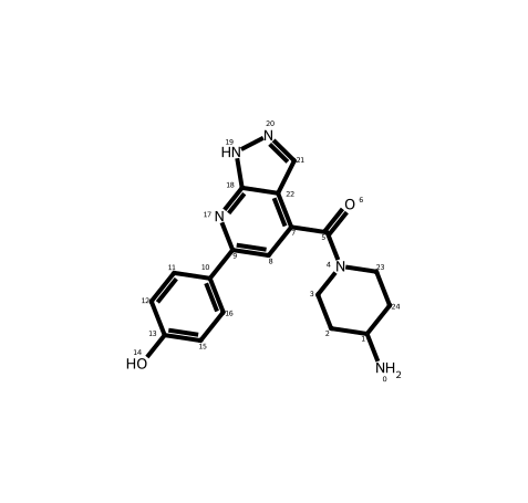 NC1CCN(C(=O)c2cc(-c3ccc(O)cc3)nc3[nH]ncc23)CC1